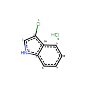 Cl.Clc1c[nH]c2ccccc12